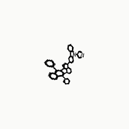 c1ccc(-c2c3c(c(-c4ccccc4)c4ccccc24)-c2ccc(-c4ccc5c(c4)c4ccccc4n5-c4ccncc4)c4cccc-3c24)cc1